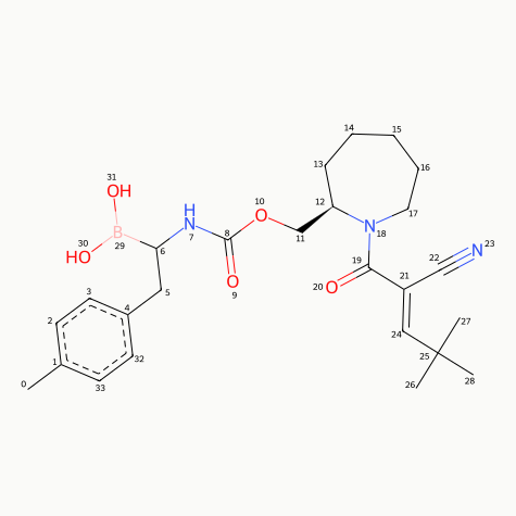 Cc1ccc(CC(NC(=O)OC[C@H]2CCCCCN2C(=O)C(C#N)=CC(C)(C)C)B(O)O)cc1